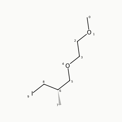 COCCOC[C@H](C)CI